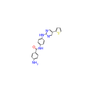 Nc1ccc(C(=O)Nc2ccc(Nc3ncc(-c4cccs4)cn3)cc2)cc1